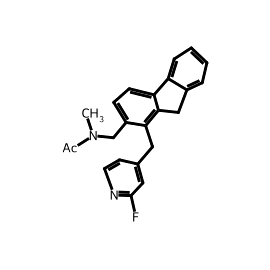 CC(=O)N(C)Cc1ccc2c(c1Cc1ccnc(F)c1)Cc1ccccc1-2